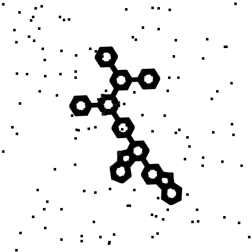 c1ccc(-c2cc(-c3ccccc3)cc(-c3nc(-c4ccccc4)nc(-c4ccc(-c5ccc(-c6ccc7c(c6)oc6ccccc67)c6c5oc5ccccc56)cc4)n3)c2)cc1